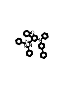 c1ccc(-c2ccc(N(c3ccccc3)c3cc(-c4nc(-c5ccccc5)nc(-c5ccccc5)n4)c4c(c3)oc3ccccc34)cc2)cc1